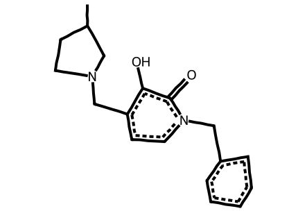 CC1CCN(Cc2ccn(Cc3ccccc3)c(=O)c2O)C1